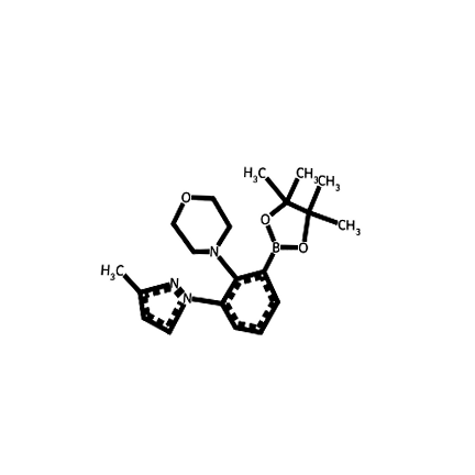 Cc1ccn(-c2cccc(B3OC(C)(C)C(C)(C)O3)c2N2CCOCC2)n1